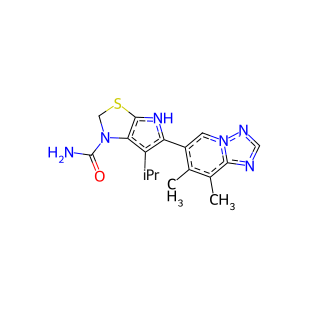 Cc1c(-c2[nH]c3c(c2C(C)C)N(C(N)=O)CS3)cn2ncnc2c1C